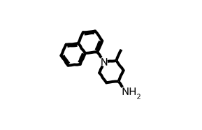 CC1CC(N)CCN1c1cccc2ccccc12